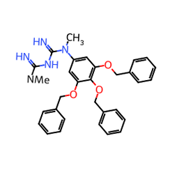 CNC(=N)NC(=N)N(C)c1cc(OCc2ccccc2)c(OCc2ccccc2)c(OCc2ccccc2)c1